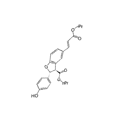 CCCOC(=O)[C@@H]1c2cc(/C=C/C(=O)OC(C)C)ccc2O[C@H]1c1ccc(O)cc1